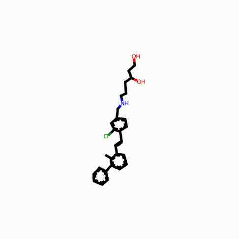 Cc1c(/C=C/c2ccc(CNCCCC(O)CCO)cc2Cl)cccc1-c1ccccc1